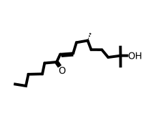 CCCCCC(=O)/C=C/C[C@H](C)CCCC(C)(C)O